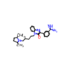 CC1CCC(C)N1CCCCCn1c(=O)c(-c2cccc(C(=N)N)c2)nc2ccccc21